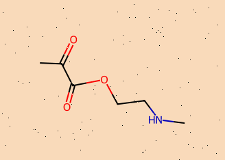 CNCCOC(=O)C(C)=O